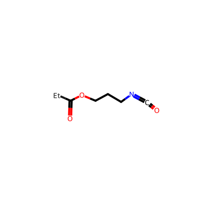 CCC(=O)OCCCN=C=O